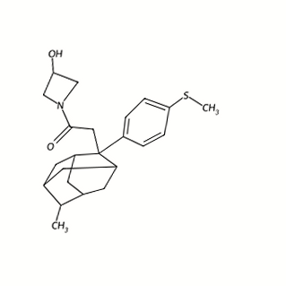 CSc1ccc(C2(CC(=O)N3CC(O)C3)C3CC4CC2CC(C3)C4C)cc1